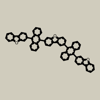 c1ccc2c(c1)oc1cc(-c3c4ccccc4c(-c4ccc5c(c4)oc4ccc(-c6c7ccccc7c(-c7ccc8c(c7)oc7ccccc78)c7ccccc67)cc45)c4ccccc34)ccc12